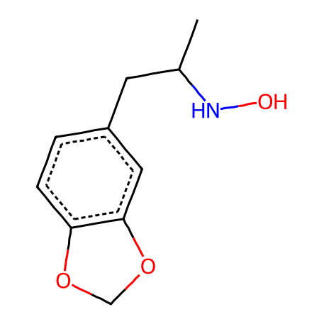 CC(Cc1ccc2c(c1)OCO2)NO